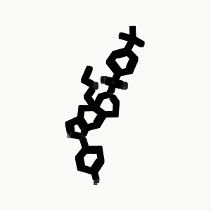 CCOCC12Cc3cnn(-c4ccc(F)cc4)c3C=C1CCN(S(=O)(=O)c1ccc(C(C)(C)C)cc1)C2